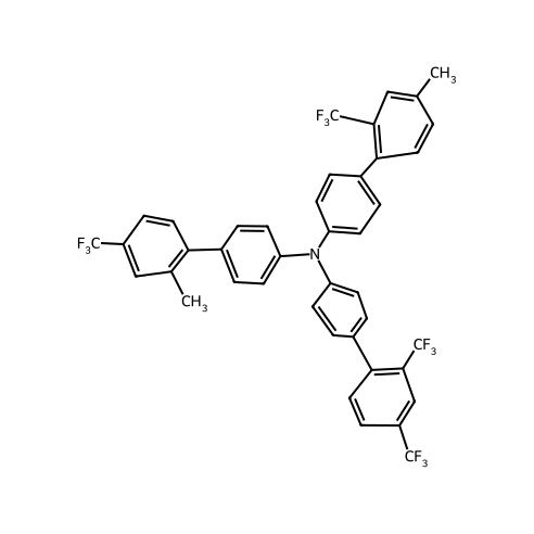 Cc1ccc(-c2ccc(N(c3ccc(-c4ccc(C(F)(F)F)cc4C)cc3)c3ccc(-c4ccc(C(F)(F)F)cc4C(F)(F)F)cc3)cc2)c(C(F)(F)F)c1